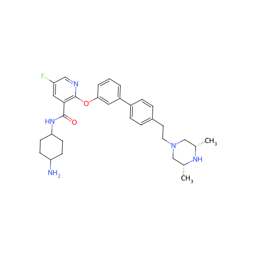 C[C@@H]1CN(CCc2ccc(-c3cccc(Oc4ncc(F)cc4C(=O)NC4CCC(N)CC4)c3)cc2)C[C@H](C)N1